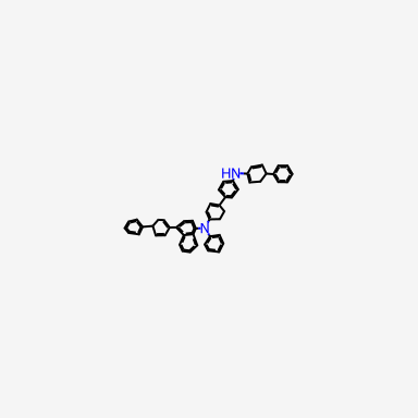 C1=CC(c2ccccc2)CC=C1Nc1ccc(C2=CC=C(N(c3ccccc3)c3ccc(C4=CCC(c5ccccc5)C=C4)c4ccccc34)CC2)cc1